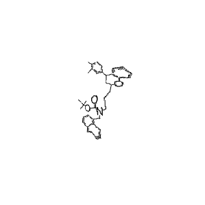 Cc1ccc(C2CC(CCCN(Cc3cccc4ccccc34)C(=O)OC(C)(C)C)Oc3ccccc32)cc1C